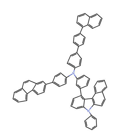 c1ccc(-n2c3cccc(-c4cccc(N(c5ccc(-c6ccc(-c7cccc8ccccc78)cc6)cc5)c5ccc(-c6ccc7c(ccc8ccccc87)c6)cc5)c4)c3c3c4ccccc4ccc32)cc1